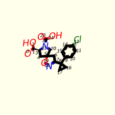 O=C(O)[C@@H]1CC2(CC(C3(c4ccc(Cl)cc4)CC3)=NO2)CN1C(=O)O